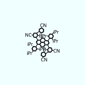 CC(C)c1cc(C(C)C)c(-c2cc3c4c(cc5c(-c6c(C(C)C)cc(C(C)C)cc6C(C)C)cc6c7c(cc2c4c57)B2c4ccc(C#N)cc4-c4cc(C#N)cc-6c42)B2c4ccc(C#N)cc4-c4cc(C#N)cc-3c42)c(C(C)C)c1